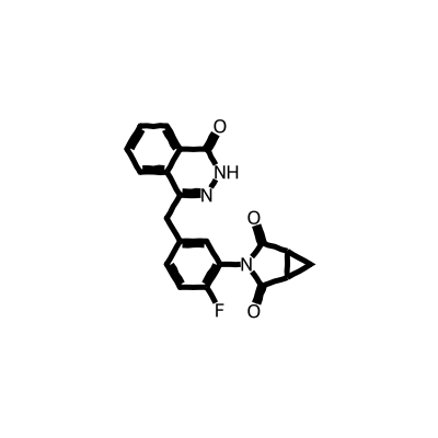 O=C1C2CC2C(=O)N1c1cc(Cc2n[nH]c(=O)c3ccccc23)ccc1F